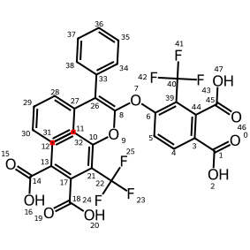 O=C(O)c1ccc(OC(Oc2ccc(C(=O)O)c(C(=O)O)c2C(F)(F)F)=C(c2ccccc2)c2ccccc2)c(C(F)(F)F)c1C(=O)O